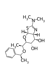 C[C@H](O[C@@H](C)[C@H]1O[C@@H]2SC(N(C)C)=N[C@@H]2[C@@H](O)[C@@H]1O)c1ccccc1